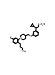 CC(C)(C)CCCc1ccc(F)cc1N1CCC(COc2cccc(C(CC(=O)O)C3CC3)c2)CC1